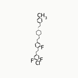 Cc1ccc(CC[C@H]2CC[C@H](CCc3ccc(CCc4cc(F)c(Cl)c(F)c4)c(F)c3)CC2)cc1